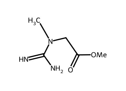 COC(=O)CN(C)C(=N)N